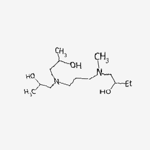 CCC(O)CN(C)CCCN(CC(C)O)CC(C)O